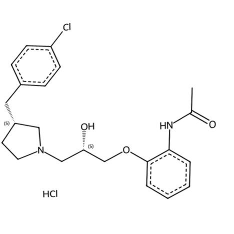 CC(=O)Nc1ccccc1OC[C@@H](O)CN1CC[C@H](Cc2ccc(Cl)cc2)C1.Cl